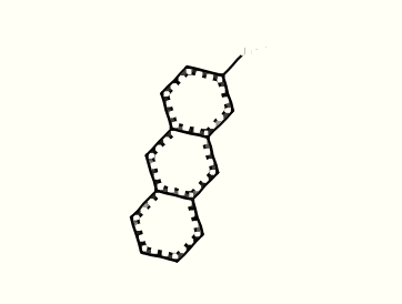 CCCc1ccc2cc3ccccc3cc2c1